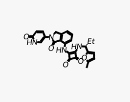 CC[C@@H](Nc1c(Nc2cccc3c2C(=O)N(c2ccc(=O)[nH]c2)C3)c(=O)c1=O)c1ccc(C)o1